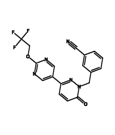 N#Cc1cccc(Cn2nc(-c3cnc(OCC(F)(F)F)nc3)ccc2=O)c1